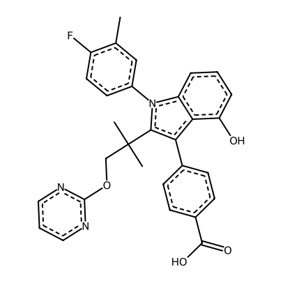 Cc1cc(-n2c(C(C)(C)COc3ncccn3)c(-c3ccc(C(=O)O)cc3)c3c(O)cccc32)ccc1F